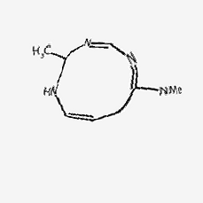 CN/C1=N/C=N\C(C)N/C=C\C1